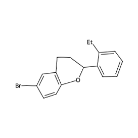 CCc1ccccc1C1CCc2cc(Br)ccc2O1